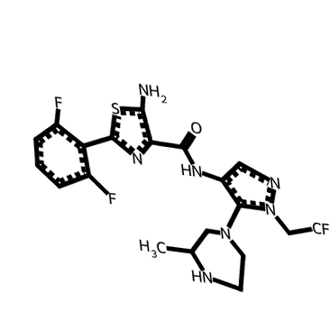 CC1CN(c2c(NC(=O)c3nc(-c4c(F)cccc4F)sc3N)cnn2CC(F)(F)F)CCN1